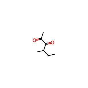 CCC(C)C(=O)C(C)=O